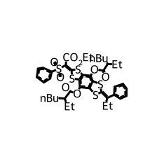 CCCCC(CC)C(=O)Oc1c2c(c(OC(=O)C(CC)CCCC)c3c1SC(=C(C(=O)OCC)S(=O)(=O)c1ccccc1)S3)SC(=C(CC)c1ccccc1)S2